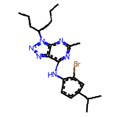 CCCC(CCC)n1nnc2c(Nc3ccc(C(C)C)cc3Br)nc(C)nc21